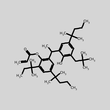 C=CC(=O)Oc1c(C(C)c2cc(C(C)(C)CCC)cc(CC(C)(C)C)c2O)cc(C(C)(C)CCC)cc1C(C)(C)CC